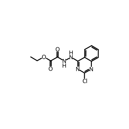 CCOC(=O)C(=O)NNc1nc(Cl)nc2ccccc12